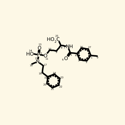 Cc1ccc(C(=O)NC(CCOP(=O)(O)N(C)CCc2ccccc2)C(=O)O)cc1